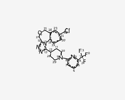 FC(F)(F)c1cccc(N2CCC(c3nnc4n3-c3ccc(Cl)cc3COC4)CC2)n1